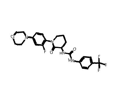 O=C(Nc1ccc(C(F)(F)F)cc1)NC1CCCN(c2ccc(N3CCOCC3)cc2F)C1=O